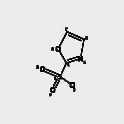 O=S(=O)(Cl)c1ncco1